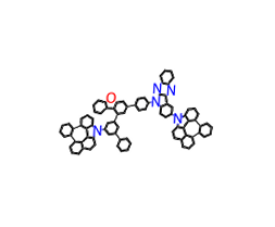 c1ccc(-c2cc(-c3cc(-c4ccc(-n5c6ccc(-n7c8cccc9c8c8c%10c(cccc%10ccc87)-c7ccccc7-9)cc6c6nc7ccccc7nc65)cc4)cc4oc5ccccc5c34)cc(-n3c4cccc5c4c4c6c(cccc6ccc43)-c3ccccc3-5)c2)cc1